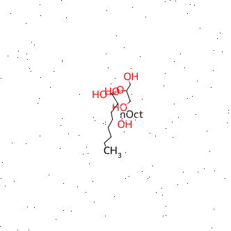 CCCCCCCC(=O)O.CCCCCCCCO.OCC(O)CO